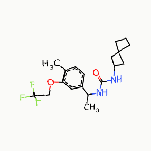 Cc1ccc(C(C)NC(=O)NC2CC3(CCC3)C2)cc1OCC(F)(F)F